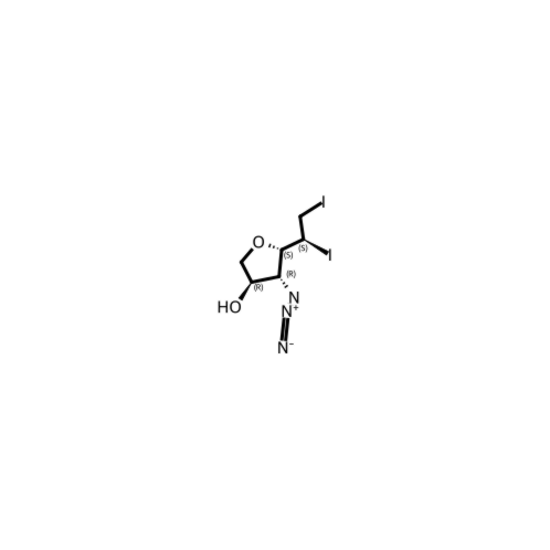 [N-]=[N+]=N[C@H]1[C@@H]([C@H](I)CI)OC[C@@H]1O